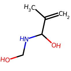 C=C(C)C(O)NCO